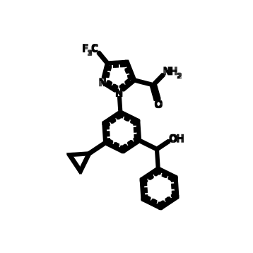 NC(=O)c1cc(C(F)(F)F)nn1-c1cc(C2CC2)cc(C(O)c2ccccc2)c1